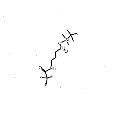 CC(C)(C)[Si](C)(C)O[PH](=O)CCCNC(=O)C(F)(F)F